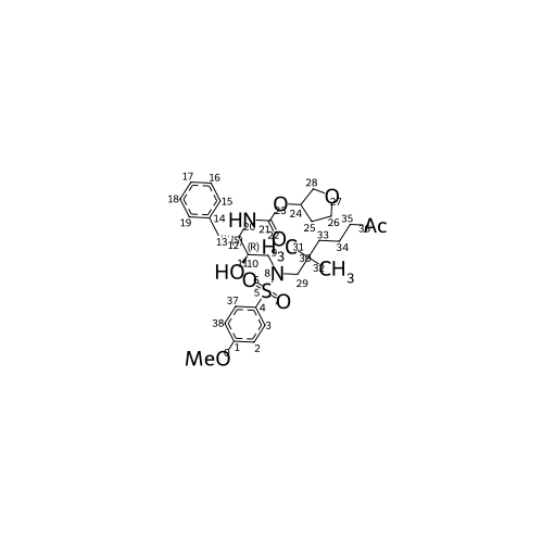 COc1ccc(S(=O)(=O)N(C[C@@H](O)[C@H](Cc2ccccc2)NC(=O)OC2CCOC2)CC(C)(C)CCCC(C)=O)cc1